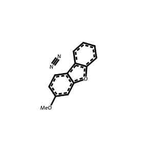 COc1ccc2c(c1)oc1ccccc12.N#N